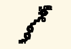 CCCC1CCC(C2CCC(CCCCCC(=O)c3ccc(OCC)c(F)c3C)CC2)CC1